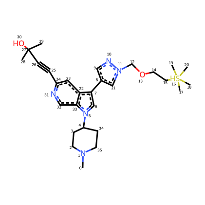 CN1CCC(n2cc(-c3cnn(COCC[SH](C)(C)(C)C)c3)c3cc(C#CC(C)(C)O)ncc32)CC1